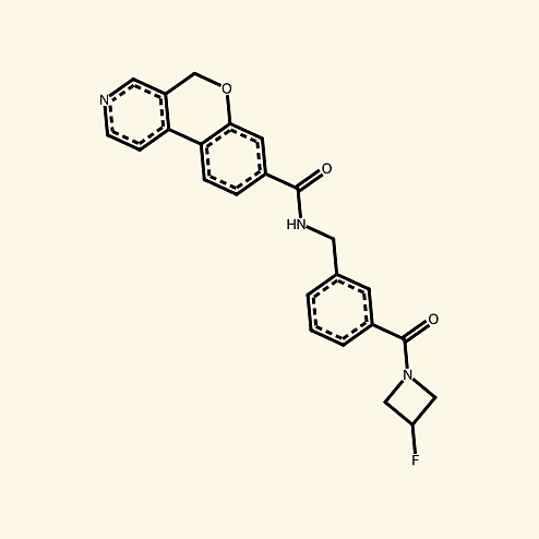 O=C(NCc1cccc(C(=O)N2CC(F)C2)c1)c1ccc2c(c1)OCc1cnccc1-2